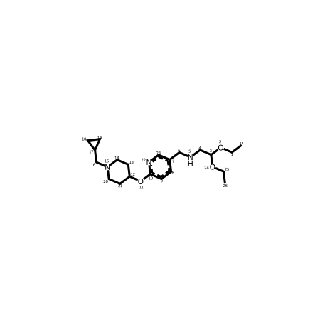 CCOC(CNCc1ccc(OC2CCN(CC3CC3)CC2)nc1)OCC